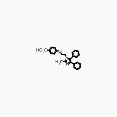 Cc1nc(-c2ccccc2)c(-c2ccccc2)n1CCOc1ccc(C(=O)O)cc1